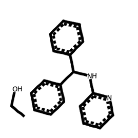 CCO.c1ccc(C(Nc2ccccn2)c2ccccc2)cc1